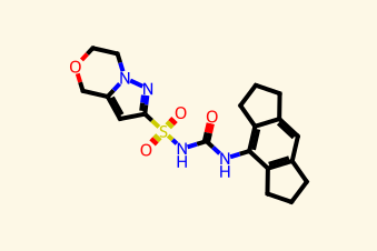 O=C(Nc1c2c(cc3c1CCC3)CCC2)NS(=O)(=O)c1cc2n(n1)CCOC2